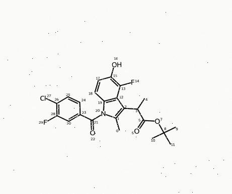 Cc1c(C(C)C(=O)OC(C)(C)C)c2c(F)c(O)ccc2n1C(=O)c1ccc(Cl)c(F)c1